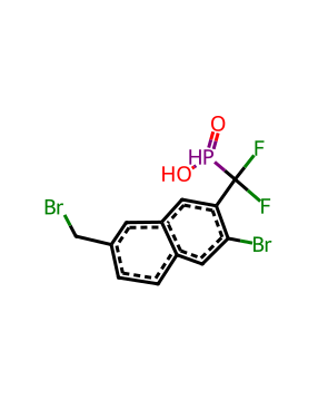 O=[PH](O)C(F)(F)c1cc2cc(CBr)ccc2cc1Br